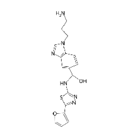 NCCCn1cnc2cc(C(O)Nc3nnc(-c4ccco4)s3)ccc21